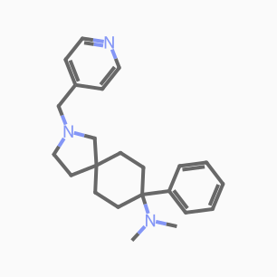 CN(C)C1(c2ccccc2)CCC2(CCN(Cc3ccncc3)C2)CC1